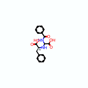 O=C(NC(N[C@@H](Cc1ccccc1)C(=O)O)C(=O)O)c1ccccc1